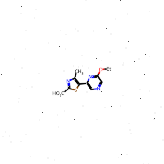 CCOc1cncc(-c2sc(C(=O)O)nc2C)n1